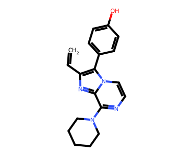 C=Cc1nc2c(N3CCCCC3)nccn2c1-c1ccc(O)cc1